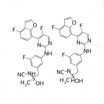 C[SH](O)(Cc1cc(F)cc(Nc2ncc(F)c(-c3ccc(F)c4ccoc34)n2)c1)=NC#N.C[SH](O)(Cc1cc(F)cc(Nc2ncc(F)c(-c3ccc(F)c4ccoc34)n2)c1)=NC#N